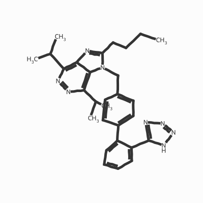 CCCCc1nc2c(C(C)C)nnc(C(C)C)c2n1Cc1ccc(-c2ccccc2-c2nnn[nH]2)cc1